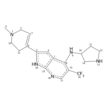 CN1CC=C(c2cc3c(NC4CCNC4)c(C(F)(F)F)cnc3[nH]2)CC1